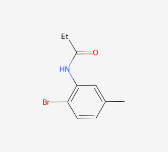 CCC(=O)Nc1cc(C)ccc1Br